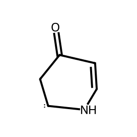 O=C1C=CN[C]C1